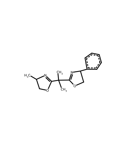 CC1COC(C(C)(C)C2=NC(c3ccccc3)CO2)=N1